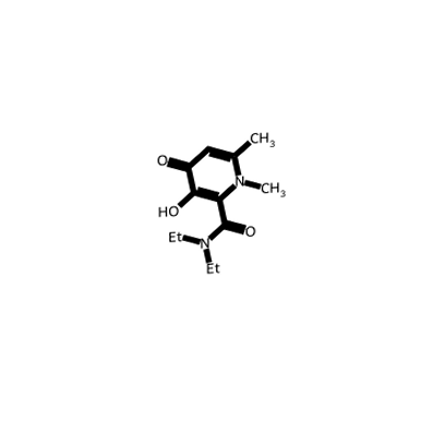 CCN(CC)C(=O)c1c(O)c(=O)cc(C)n1C